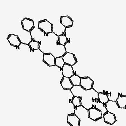 c1ccc(N2NC(c3ccc4c(c3)c3c(-c5nc(-c6ccccn6)n(-c6ccccc6)n5)ccc5c3n4c3ccc(-c4nc(-c6ccccn6)n(-c6ccccc6)n4)c4c6cc(-c7nc(-c8ccccn8)n(-c8ccccc8)n7)ccc6n5c43)NC2c2ccccn2)cc1